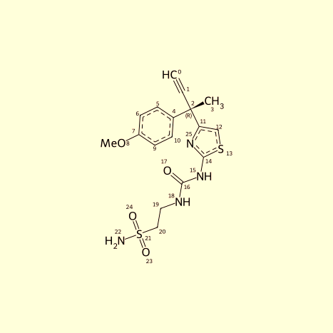 C#C[C@@](C)(c1ccc(OC)cc1)c1csc(NC(=O)NCCS(N)(=O)=O)n1